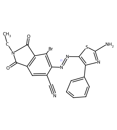 CCN1C(=O)c2cc(C#N)c(/N=N/c3sc(N)nc3-c3ccccc3)c(Br)c2C1=O